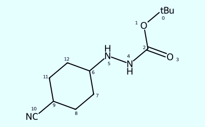 CC(C)(C)OC(=O)NNC1CCC(C#N)CC1